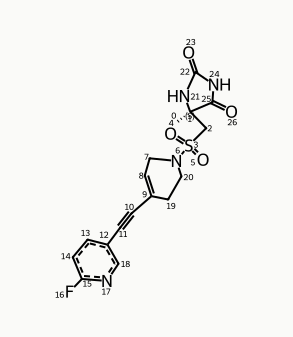 C[C@]1(CS(=O)(=O)N2CC=C(C#Cc3ccc(F)nc3)CC2)NC(=O)NC1=O